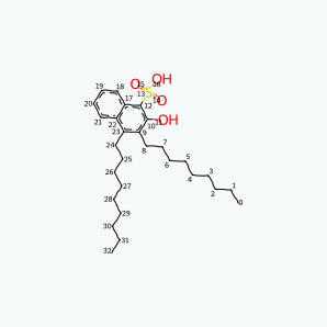 CCCCCCCCCc1c(O)c(S(=O)(=O)O)c2ccccc2c1CCCCCCCCC